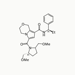 CC[C@@H](NC(=O)c1cc(C(=O)N2C(COC)CC[C@@H]2COC)n2c1COCC2)c1ccccc1